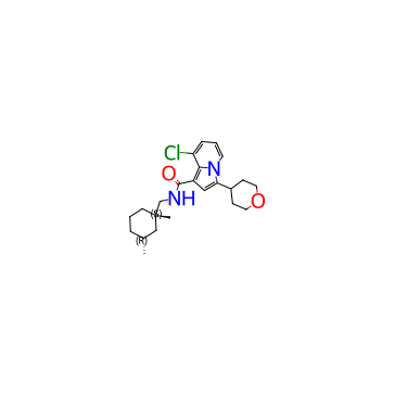 C[C@@H]1CCC[C@](C)(CNC(=O)c2cc(C3CCOCC3)n3cccc(Cl)c23)C1